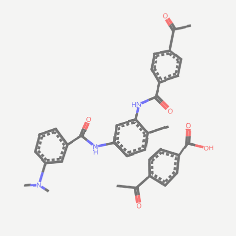 CC(=O)c1ccc(C(=O)Nc2cc(NC(=O)c3cccc(N(C)C)c3)ccc2C)cc1.CC(=O)c1ccc(C(=O)O)cc1